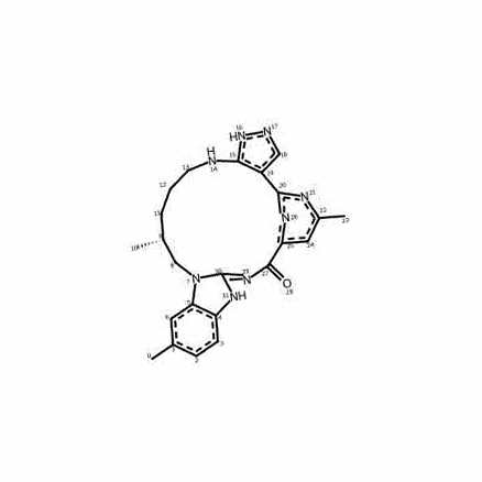 Cc1ccc2c(c1)N1C[C@H](C)CCCNc3[nH]ncc3-c3nc(C)cc(n3)C(=O)/N=C/1N2